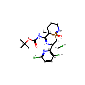 CC(C)(C)OC(=O)NC1=N[C@](CF)(c2nc(Br)ccc2F)C[S@]2(=O)=NCCC[C@@]12C